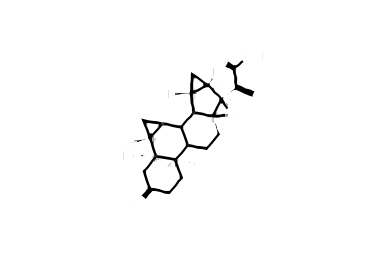 C=C(C(=O)O)[C@@]12O[C@@]13CCC1C(C4C[C@H]4[C@]4(O)CC(=O)CC[C@]14C)C3[C@@H]1C[C@@H]12